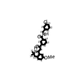 COc1ccc2c(c1)/C(=C/C(=O)c1cccc(C(=O)NCc3cccc(Cl)c3)c1)NC(C)(C)C2